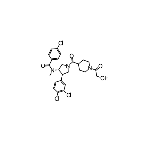 CN(C(=O)c1ccc(Cl)cc1)[C@@H]1CN(C(=O)C2CCN(C(=O)CO)CC2)C[C@H]1c1ccc(Cl)c(Cl)c1